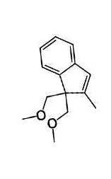 COCC1(COC)C(C)=Cc2ccccc21